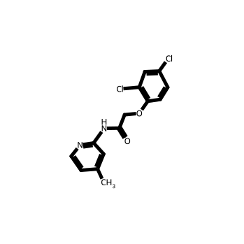 Cc1ccnc(NC(=O)COc2ccc(Cl)cc2Cl)c1